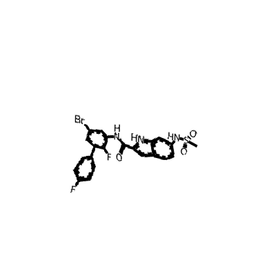 CS(=O)(=O)Nc1ccc2cc(C(=O)Nc3cc(Br)cc(-c4ccc(F)cc4)c3F)[nH]c2c1